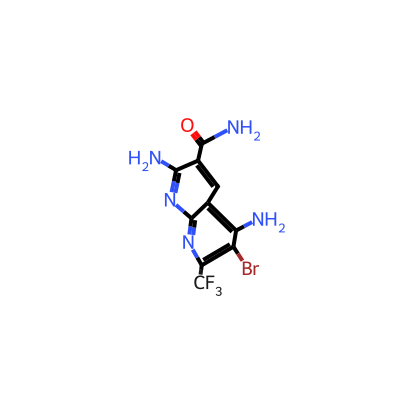 NC(=O)c1cc2c(N)c(Br)c(C(F)(F)F)nc2nc1N